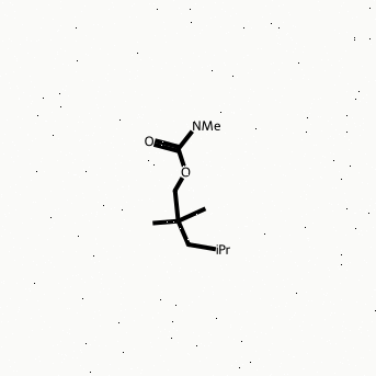 CNC(=O)OCC(C)(C)CC(C)C